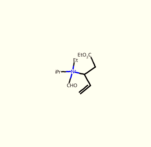 C=CC(CC(=O)OCC)[N+](C=O)(CC)C(C)C